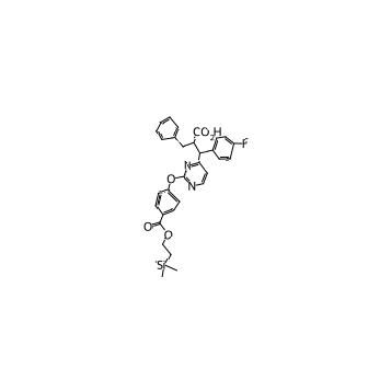 C[Si](C)(C)CCOC(=O)c1ccc(Oc2nccc(C(c3ccc(F)cc3)C(Cc3ccccc3)C(=O)O)n2)cc1